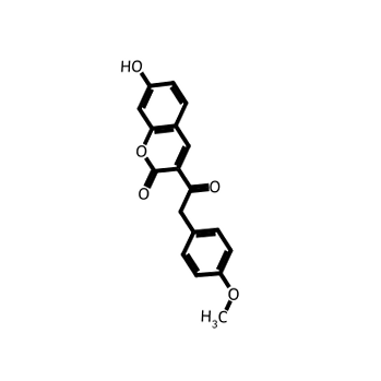 COc1ccc(CC(=O)c2cc3ccc(O)cc3oc2=O)cc1